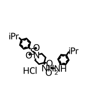 CC(C)c1ccc(NC(=O)OC2(N)CCN(S(=O)(=O)c3ccc(C(C)C)cc3)CC2)cc1.Cl